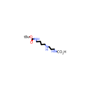 CC(C)(C)OC(=O)NCCCCNCCCNC(=O)O